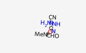 CN[C@H](C=O)COc1ccc(C(=N)N(N)CCC#N)cc1N(C)C